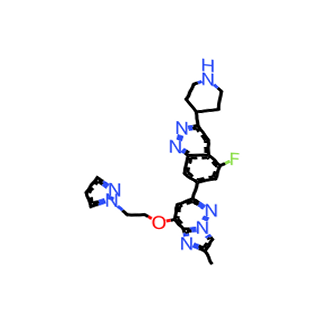 Cc1cn2nc(-c3cc(F)c4cc(C5CCNCC5)nnc4c3)cc(OCCn3cccn3)c2n1